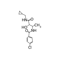 CC(NC(=O)c1ccc(Cl)cc1)C(O)C(=O)NCC1CC1